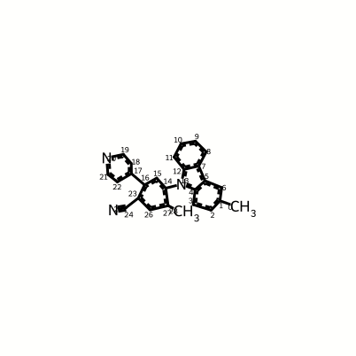 Cc1ccc2c(c1)c1ccccc1n2-c1cc(-c2ccncc2)c(C#N)cc1C